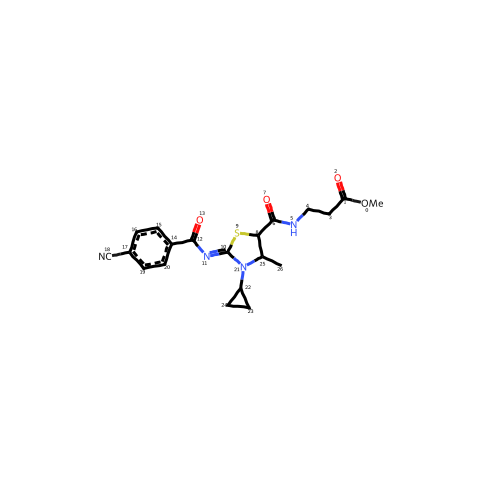 COC(=O)CCNC(=O)C1SC(=NC(=O)c2ccc(C#N)cc2)N(C2CC2)C1C